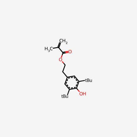 C=C(C)C(=O)OCCc1cc(C(C)(C)C)c(O)c(C(C)(C)C)c1